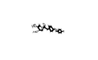 O=C(Cc1ccc(NCc2ccc(F)cc2)cc1)N1C[C@@H](O)[C@H](O)C1